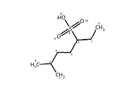 CCC(CCC(C)C)S(=O)(=O)O